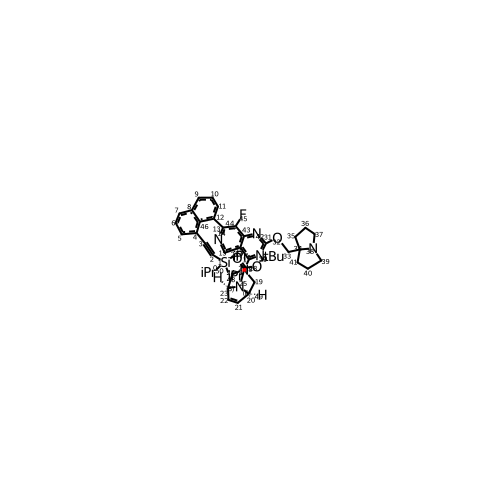 CC(C)[Si](C#Cc1cccc2cccc(-c3ncc4c(N5C[C@H]6C=C[C@@H](C5)N6C(=O)OC(C)(C)C)nc(OCC56CCCN5CCC6)nc4c3F)c12)(C(C)C)C(C)C